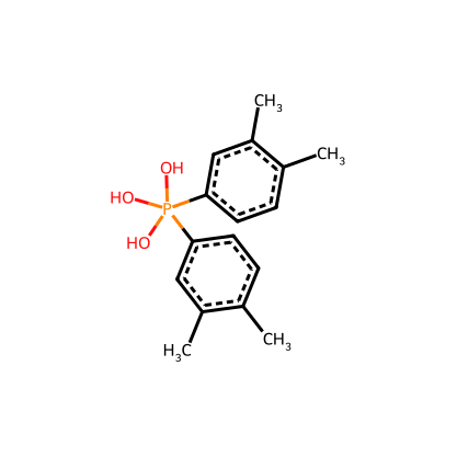 Cc1ccc(P(O)(O)(O)c2ccc(C)c(C)c2)cc1C